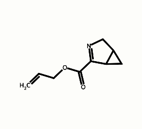 C=CCOC(=O)C1=NCC2CC12